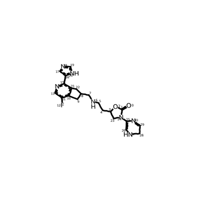 O=C1OC(CCNCC2Cc3c(F)cnc(-c4cnc[nH]4)c3C2)CN1C1=CNCC=N1